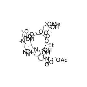 CC[C@H]1OC(=O)[C@H](C)[C@@H](O[C@H]2C[C@@](C)(OC)[C@@H](O)[C@H](C)O2)[C@H](C)[C@@H](O[C@@H]2O[C@H](C)C[C@H](N(C)CCc3cn(CCc4ccc(N5C[C@H](COC(C)=O)OC5=O)cc4)nn3)[C@H]2O)[C@](C)(O)C[C@@H](C)CN(C)[C@H](C)[C@@H](O)[C@]1(C)O